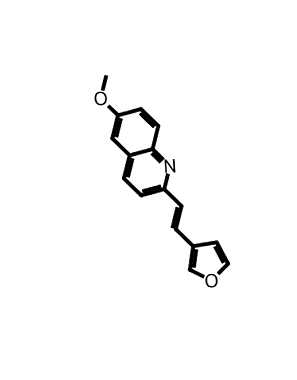 COc1ccc2nc(/C=C/c3ccoc3)ccc2c1